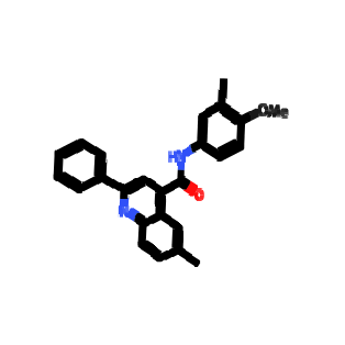 COc1ccc(NC(=O)c2cc(-c3ccccc3)nc3ccc(C)cc23)cc1C